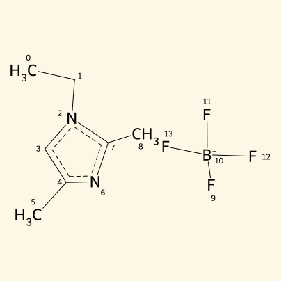 CCn1cc(C)nc1C.F[B-](F)(F)F